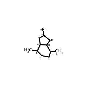 CC1CCC(C)C2CC(Br)CC12